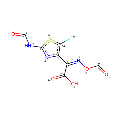 O=CNc1nc(/C(=N/OC=O)C(=O)O)c(F)s1